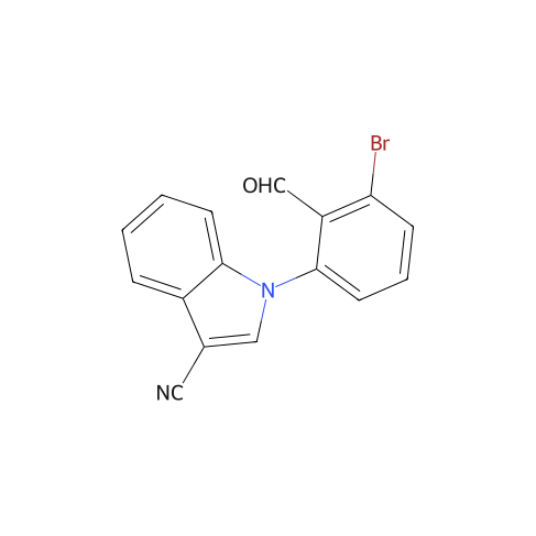 N#Cc1cn(-c2cccc(Br)c2C=O)c2ccccc12